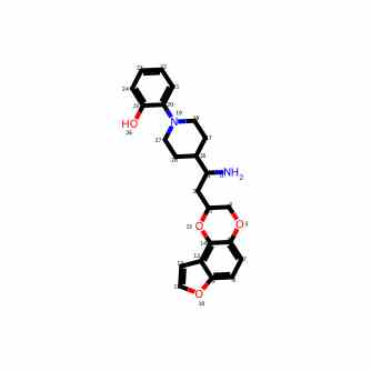 NC(CC1COc2ccc3occc3c2O1)C1CCN(c2ccccc2O)CC1